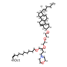 CCCCCCCC/C=C\CCCCCCCCOCC(CCN1CCOCC1)OCCOCCO[C@H]1CC[C@@]2(C)C(=CCC3C4CCC([C@H](C)CCCC(C)C)[C@@]4(C)CCC32)C1